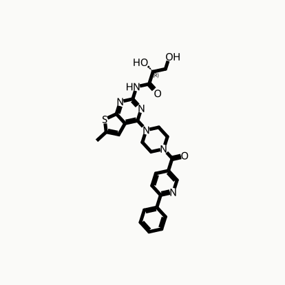 Cc1cc2c(N3CCN(C(=O)c4ccc(-c5ccccc5)nc4)CC3)nc(NC(=O)[C@H](O)CO)nc2s1